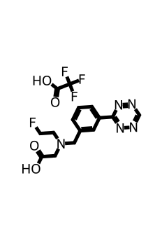 O=C(O)C(F)(F)F.O=C(O)CN(CCF)Cc1cccc(-c2nncnn2)c1